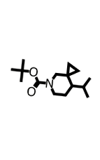 CC(C)C1CCN(C(=O)OC(C)(C)C)CC12CC2